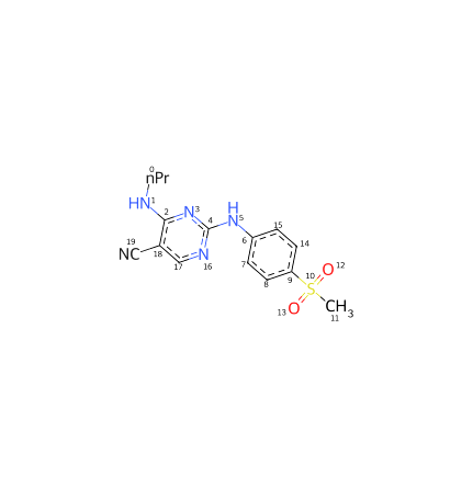 CCCNc1nc(Nc2ccc(S(C)(=O)=O)cc2)ncc1C#N